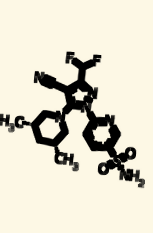 C[C@@H]1C[C@H](C)CN(c2c(C#N)c(C(F)F)nn2-c2ccc(S(N)(=O)=O)cn2)C1